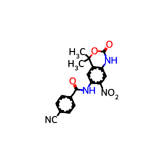 CC1(C)OC(=O)Nc2cc([N+](=O)[O-])c(NC(=O)c3ccc(C#N)cc3)cc21